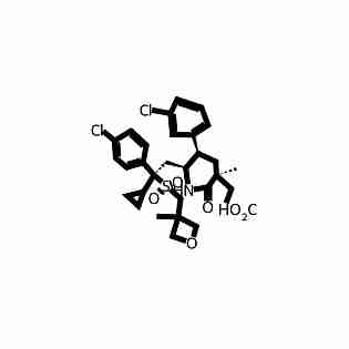 CC1(CS(=O)(=O)[C@](C[C@@H]2NC(=O)[C@](C)(CC(=O)O)C[C@@H]2c2cccc(Cl)c2)(c2ccc(Cl)cc2)C2CC2)COC1